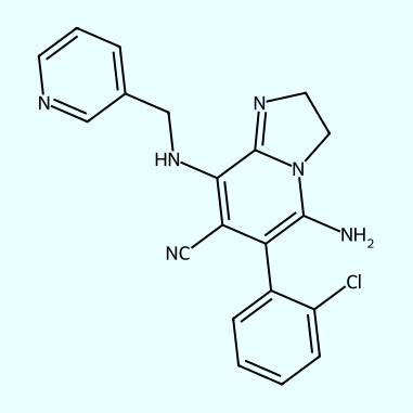 N#CC1=C(NCc2cccnc2)C2=NCCN2C(N)=C1c1ccccc1Cl